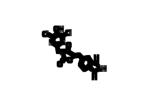 O=C1O/C(=C\c2ccc3c(c2)NNN3)C(=O)N1Cc1nc(Cl)c(O)c(Cl)n1